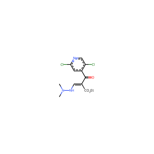 CCOC(=O)C(=CNN(C)C)C(=O)c1cc(Cl)ncc1Cl